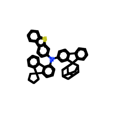 c1ccc2c(c1)-c1c(N(c3ccc4c(c3)C3(c5ccccc5-4)C4CC5CC(C4)CC3C5)c3ccc4c(c3)sc3ccccc34)cccc1C21CCCC1